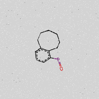 O=Pc1cccc2c1CCCCCC2